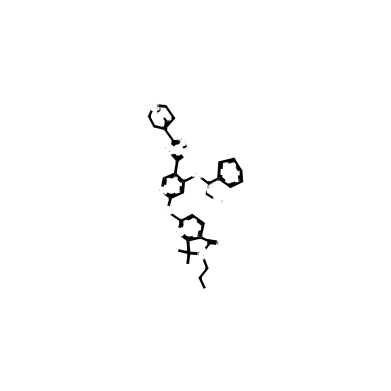 CCCN1C(=O)c2ccc(Nc3cc(N[C@H](CO)c4ccccc4)c(-c4nc(C56CCN(CC5)CC6)no4)cn3)nc2C1(C)C